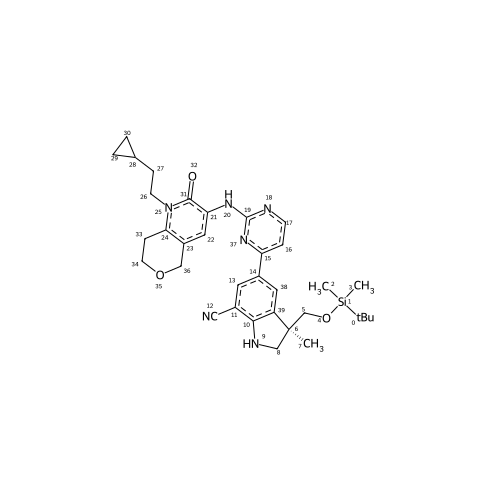 CC(C)(C)[Si](C)(C)OC[C@@]1(C)CNc2c(C#N)cc(-c3ccnc(Nc4cc5c(n(CCC6CC6)c4=O)CCOC5)n3)cc21